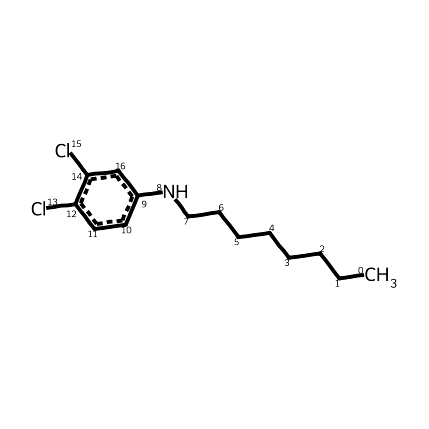 CCCCCCCCNc1ccc(Cl)c(Cl)c1